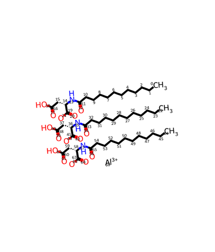 CCCCCCCCCCCC(=O)N[C@@H](CC(=O)O)C(=O)[O-].CCCCCCCCCCCC(=O)N[C@@H](CC(=O)O)C(=O)[O-].CCCCCCCCCCCC(=O)N[C@@H](CC(=O)O)C(=O)[O-].[Al+3]